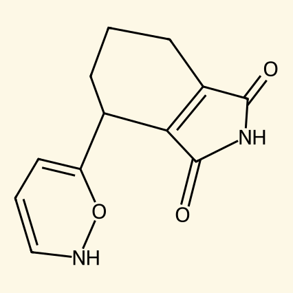 O=C1NC(=O)C2=C1CCCC2C1=CC=CNO1